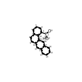 O=[PH](O)c1cccc2ccc3cc4ccccc4cc3c12